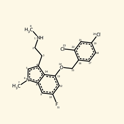 CNCCc1cn(C)c2cc(F)cc(OCc3ccc(Cl)cc3Cl)c12